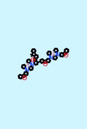 CC1(C)c2ccccc2-c2ccc3c(oc4c(N5c6ccccc6B6c7ccccc7N(c7ccc8oc9ccccc9c8c7)c7cccc5c76)ccc(-c5ccc6c(c5)oc5ccc(N7c8ccccc8B8c9ccccc9N(c9ccc%10oc%11ccccc%11c%10c9)c9cccc7c98)cc56)c43)c21